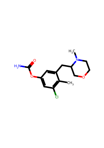 Cc1c(Cl)cc(OC(N)=O)cc1CC1COCCN1C